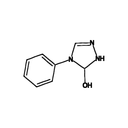 OC1NN=CN1c1ccccc1